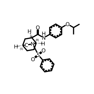 CC(C)Oc1ccc(NC(=O)[C@@H]2C[C@@H]3CC[C@H]2N(S(=O)(=O)c2ccccc2)C3)cc1